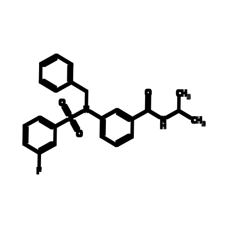 CC(C)NC(=O)c1cccc(N(Cc2ccccc2)S(=O)(=O)c2cccc(F)c2)c1